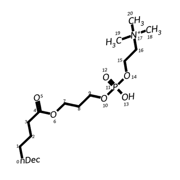 CCCCCCCCCCCCCC(=O)OCCCOP(=O)(O)OCC[N+](C)(C)C